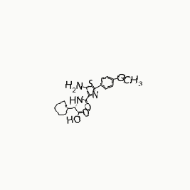 COc1ccc(-c2nc(C(=O)N[C@H](C(=O)O)C3CCCCC3)c(N)s2)cc1